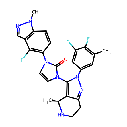 Cc1cc(-n2nc3c(c2-n2ccn(-c4ccc5c(cnn5C)c4F)c2=O)[C@H](C)NCC3)cc(F)c1F